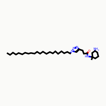 CCCCCCCCCCCCCCCCCCCCCCn1cc(CCC(=O)NC2(C)CCCC(N)C2)nn1